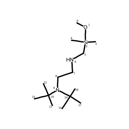 CO[Si](C)(C)CNCCN(C(C)(C)C)C(C)(C)C